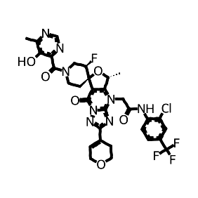 Cc1ncnc(C(=O)N2CC[C@]3(O[C@H](C)c4c3c(=O)n3nc(C5=CCOCC5)nc3n4CC(=O)Nc3ccc(C(F)(F)F)cc3Cl)[C@H](F)C2)c1O